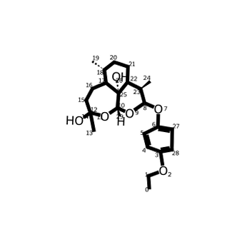 CCOc1ccc(OC2O[C@@H]3OC(C)(O)CCC4[C@H](C)CCC([C@H]2C)[C@]43O)cc1